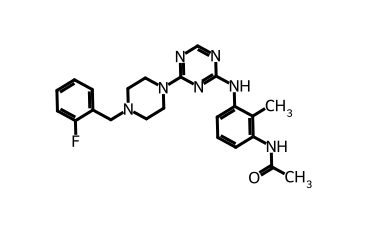 CC(=O)Nc1cccc(Nc2ncnc(N3CCN(Cc4ccccc4F)CC3)n2)c1C